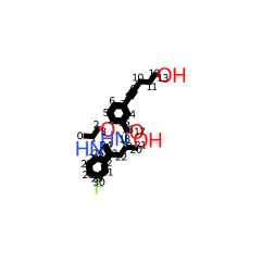 CCCOc1ccc(C#CCCCO)cc1C(=O)NC(CO)Cc1c[nH]c2ccc(F)cc12